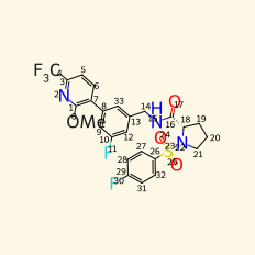 COc1nc(C(F)(F)F)ccc1-c1cc(F)cc(CNC(=O)[C@@H]2CCCN2S(=O)(=O)c2ccc(F)cc2)c1